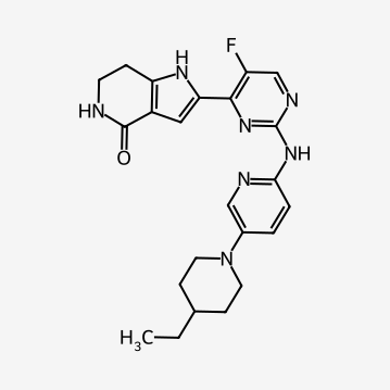 CCC1CCN(c2ccc(Nc3ncc(F)c(-c4cc5c([nH]4)CCNC5=O)n3)nc2)CC1